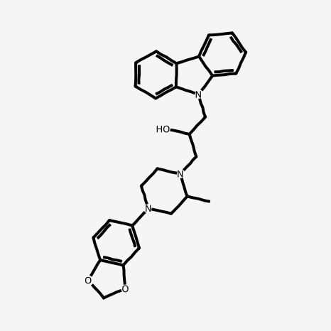 CC1CN(c2ccc3c(c2)OCO3)CCN1CC(O)Cn1c2ccccc2c2ccccc21